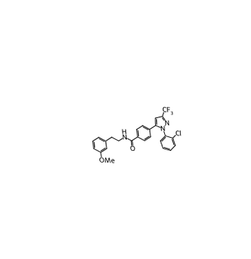 COc1cccc(CCNC(=O)c2ccc(-c3cc(C(F)(F)F)nn3-c3ccccc3Cl)cc2)c1